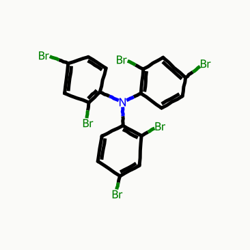 Brc1ccc(N(c2ccc(Br)cc2Br)c2ccc(Br)cc2Br)c(Br)c1